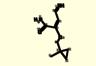 CC1(CO/C(=C/C=N)C(N)=O)CC1